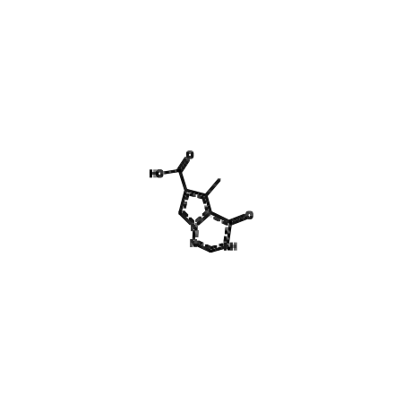 Cc1c(C(=O)O)cn2nc[nH]c(=O)c12